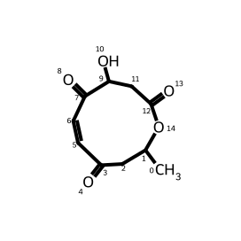 CC1CC(=O)C=CC(=O)C(O)CC(=O)O1